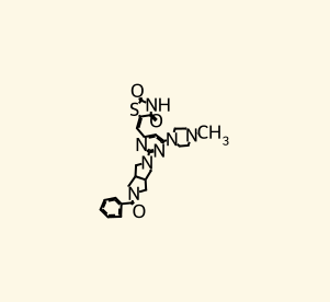 CN1CCN(c2cc(C=C3SC(=O)NC3=O)nc(N3CC4CN(C(=O)c5ccccc5)CC4C3)n2)CC1